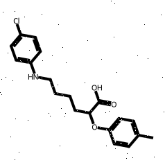 Cc1ccc(OC(CCCCNc2ccc(Cl)cc2)C(=O)O)cc1